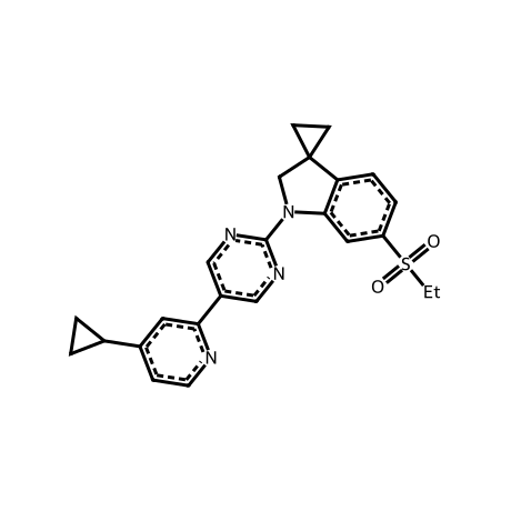 CCS(=O)(=O)c1ccc2c(c1)N(c1ncc(-c3cc(C4CC4)ccn3)cn1)CC21CC1